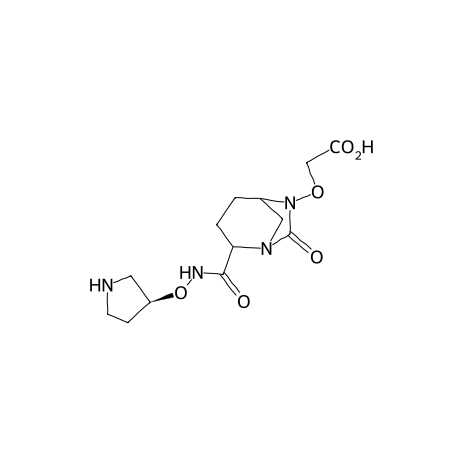 O=C(O)CON1C(=O)N2CC1CCC2C(=O)NO[C@H]1CCNC1